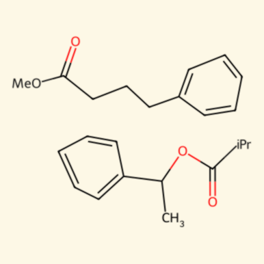 CC(C)C(=O)OC(C)c1ccccc1.COC(=O)CCCc1ccccc1